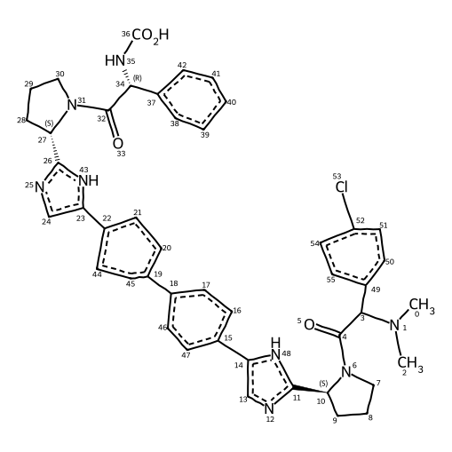 CN(C)C(C(=O)N1CCC[C@H]1c1ncc(-c2ccc(-c3ccc(-c4cnc([C@@H]5CCCN5C(=O)[C@H](NC(=O)O)c5ccccc5)[nH]4)cc3)cc2)[nH]1)c1ccc(Cl)cc1